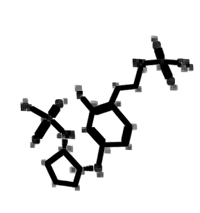 CC(C)S(=O)(=O)N[C@H]1CCC[C@H]1Oc1ccc(CCNS(C)(=O)=O)c(F)c1